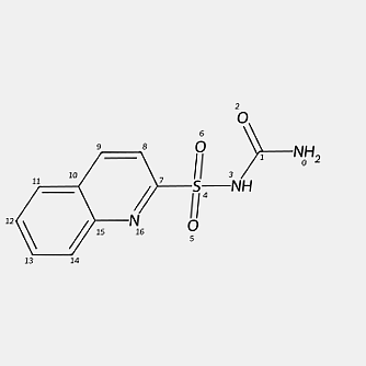 NC(=O)NS(=O)(=O)c1ccc2ccccc2n1